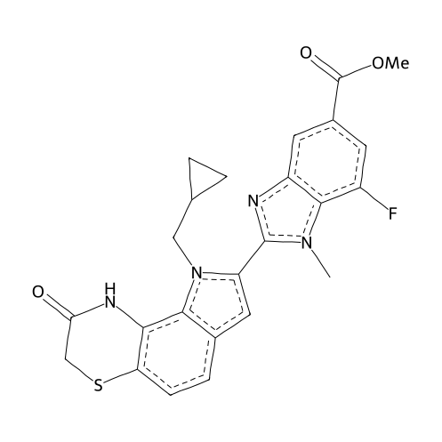 COC(=O)c1cc(F)c2c(c1)nc(-c1cc3ccc4c(c3n1CC1CC1)NC(=O)CS4)n2C